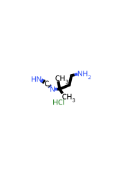 CC(C)(CCN)N=C=N.Cl